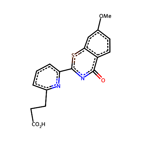 COc1ccc2c(=O)nc(-c3cccc(CCC(=O)O)n3)sc2c1